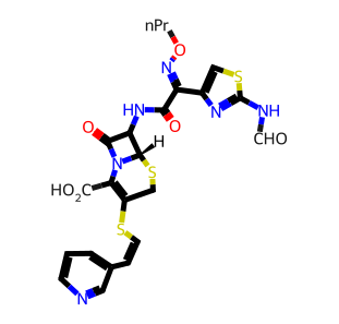 CCCON=C(C(=O)NC1C(=O)N2C(C(=O)O)=C(S/C=C\c3cccnc3)CS[C@@H]12)c1csc(NC=O)n1